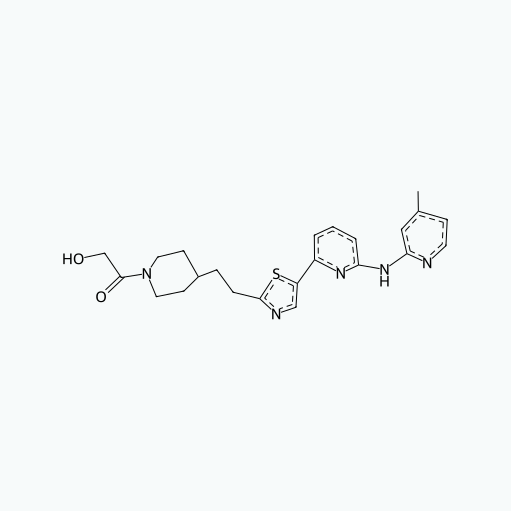 Cc1ccnc(Nc2cccc(-c3cnc(CCC4CCN(C(=O)CO)CC4)s3)n2)c1